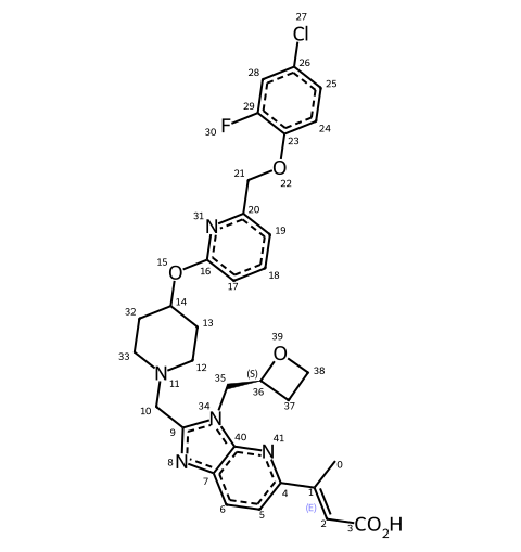 C/C(=C\C(=O)O)c1ccc2nc(CN3CCC(Oc4cccc(COc5ccc(Cl)cc5F)n4)CC3)n(C[C@@H]3CCO3)c2n1